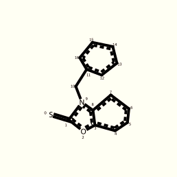 S=c1oc2ccccc2n1Cc1ccccc1